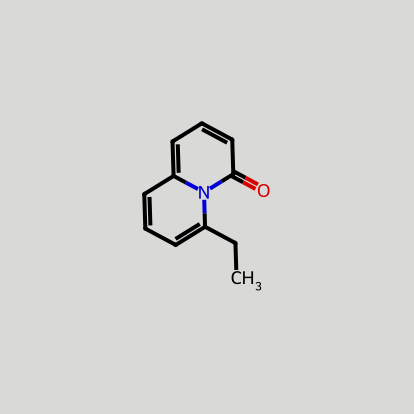 CCc1cccc2cccc(=O)n12